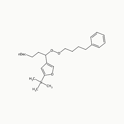 CCCCCCCCCCCCC(OOCCCCc1ccccc1)c1coc([Si](C)(C)C)c1